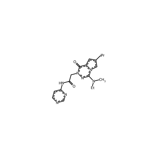 CCN(C)c1nn(CC(=O)Nc2ccncn2)c(=O)c2cc(C(C)C)cn12